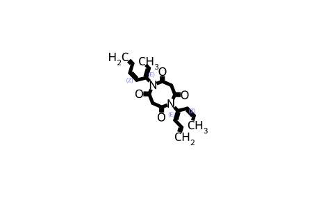 C=C/C=C\C(=C/C)N1C(=O)CC(=O)N(C(/C=C\C)=C/C=C)C(=O)CC1=O